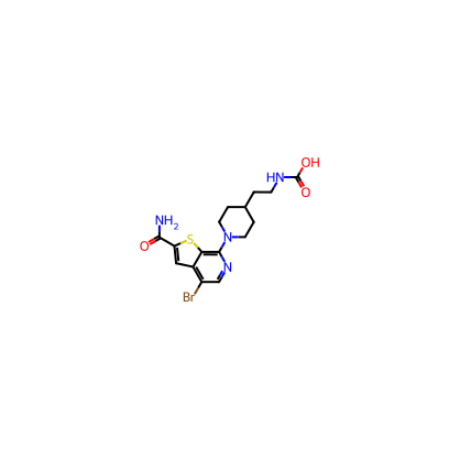 NC(=O)c1cc2c(Br)cnc(N3CCC(CCNC(=O)O)CC3)c2s1